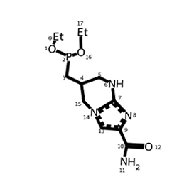 CCOP(CC1CNc2nc(C(N)=O)cn2C1)OCC